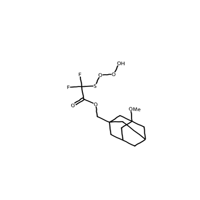 COC12CC3CC(CC(COC(=O)C(F)(F)SOOO)(C3)C1)C2